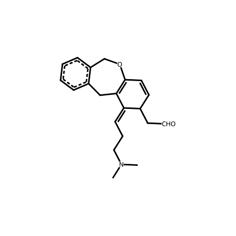 CN(C)CCC=C1C2=C(C=CC1CC=O)OCc1ccccc1C2